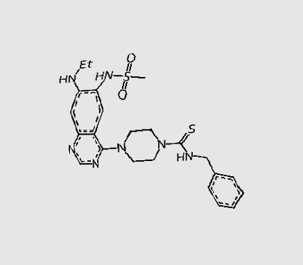 CCNc1cc2ncnc(N3CCN(C(=S)NCc4ccccc4)CC3)c2cc1NS(C)(=O)=O